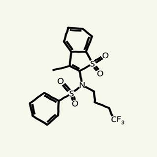 CC1=C(N(CCCC(F)(F)F)S(=O)(=O)c2ccccc2)S(=O)(=O)c2ccccc21